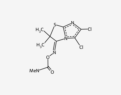 CNC(=O)ON=C1n2c(nc(Cl)c2Cl)SC1(C)C